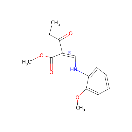 CCC(=O)/C(=C/Nc1ccccc1OC)C(=O)OC